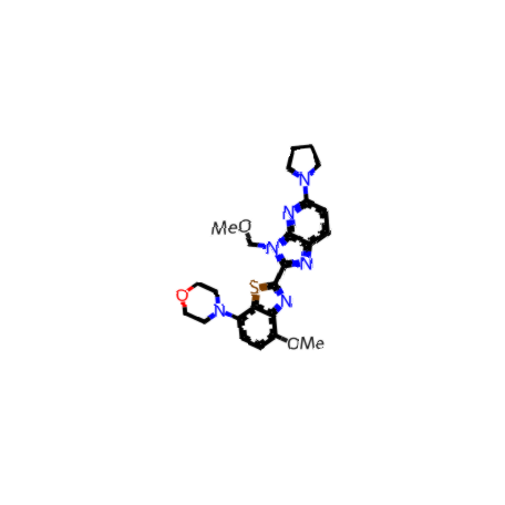 COCn1c(-c2nc3c(OC)ccc(N4CCOCC4)c3s2)nc2ccc(N3CCCC3)nc21